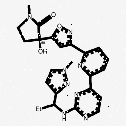 CCC(Nc1nccc(-c2cccc(-c3cc([C@]4(O)CCN(C)C4=O)on3)n2)n1)c1ccn(C)n1